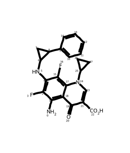 Nc1c(F)c(NC2CC2c2ccccc2)c(F)c2c1c(=O)c(C(=O)O)cn2C1CC1